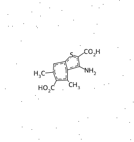 Cc1cc2sc(C(=O)O)c(N)c2c(C)c1C(=O)O